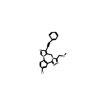 COCc1nnc2n1Cc1c(C#Cc3ccccc3)ncn1-c1ccc(Cl)cc1-2